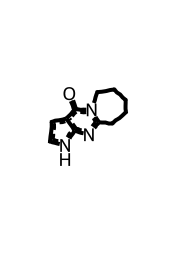 O=c1c2cc[nH]c2nc2n1CCCCC2